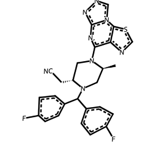 C[C@H]1CN(C(c2ccc(F)cc2)c2ccc(F)cc2)[C@H](CC#N)CN1c1nc2nncn2c2scnc12